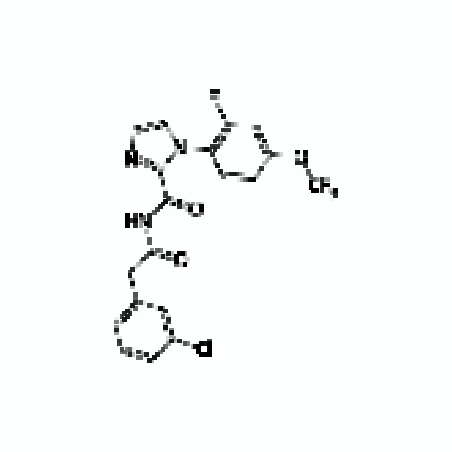 O=C(Cc1cccc(Cl)c1)NC(=O)c1nccn1-c1ccc(OC(F)(F)F)cc1F